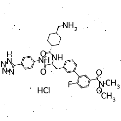 CON(C)C(=O)c1ccc(F)c(-c2cccc(C[C@H](NC(=O)[C@H]3CC[C@H](CN)CC3)C(=O)Nc3ccc(-c4nnn[nH]4)cc3)c2)c1.Cl